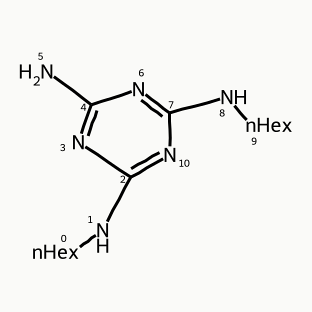 CCCCCCNc1nc(N)nc(NCCCCCC)n1